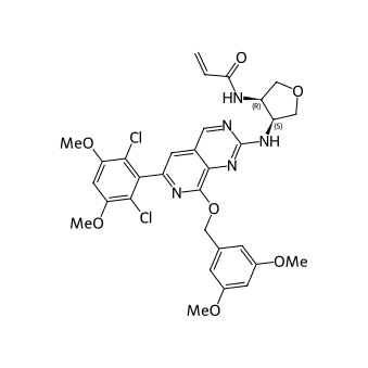 C=CC(=O)N[C@H]1COC[C@H]1Nc1ncc2cc(-c3c(Cl)c(OC)cc(OC)c3Cl)nc(OCc3cc(OC)cc(OC)c3)c2n1